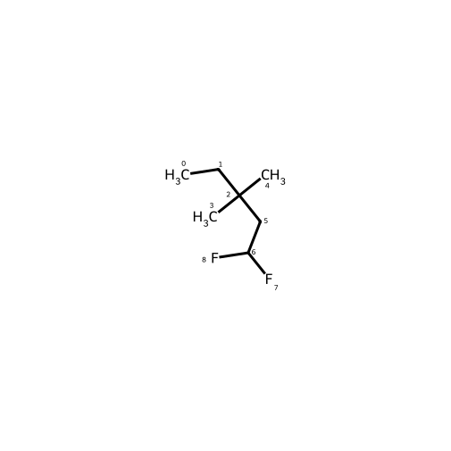 CCC(C)(C)CC(F)F